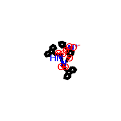 O=C(NCCN(CCOc1ccc([N+](=O)[O-])c(OCc2ccccc2)c1)C(=O)OCC1c2ccccc2-c2ccccc21)OCC1c2ccccc2-c2ccccc21